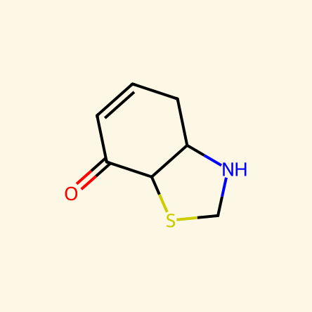 O=C1C=CCC2NCSC12